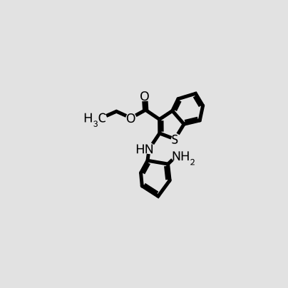 CCOC(=O)c1c(Nc2ccccc2N)sc2ccccc12